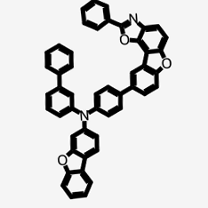 c1ccc(-c2cccc(N(c3ccc(-c4ccc5oc6ccc7nc(-c8ccccc8)oc7c6c5c4)cc3)c3ccc4c(c3)oc3ccccc34)c2)cc1